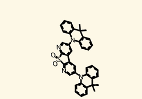 CC1(C)c2ccccc2N(c2cnc3c(c2)-c2cc(N4c5ccccc5C(C)(C)c5ccccc54)cnc2S3(=O)=O)c2ccccc21